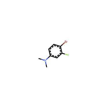 CN(C)c1ccc(Br)c(F)c1